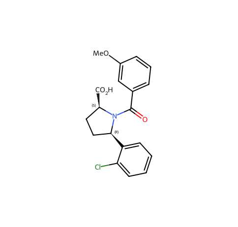 COc1cccc(C(=O)N2[C@@H](c3ccccc3Cl)CC[C@H]2C(=O)O)c1